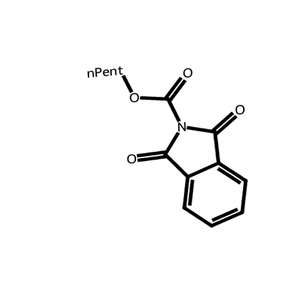 CCCCCOC(=O)N1C(=O)c2ccccc2C1=O